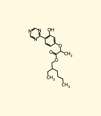 CCCCC(CC)COC(=O)C(C)Oc1ccc(-c2ncncn2)c(O)c1